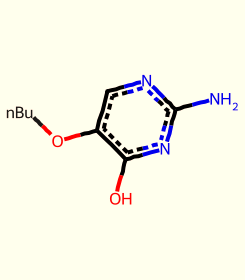 CCCCOc1cnc(N)nc1O